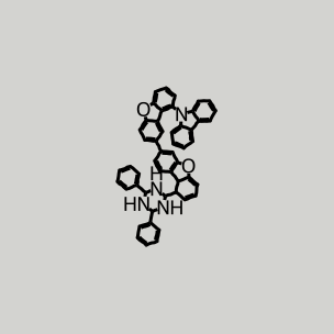 C1=CC(C2NC(c3ccccc3)NC(c3ccccc3)N2)C2C(=C1)Oc1cc(-c3ccc4oc5cccc(-n6c7ccccc7c7ccccc76)c5c4c3)ccc12